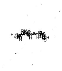 COc1cc(-c2cn(C)c(=O)c3cnccc23)cc(OC)c1CN1CC(S(=O)(=O)NCCOCCNc2cccc3c2C(=O)N(C2CCC(=O)NC2=O)C3=O)C1